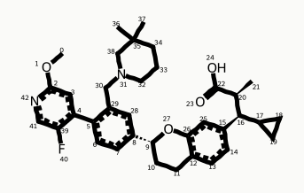 COc1cc(-c2ccc([C@H]3CCc4ccc([C@H](C5CC5)[C@H](C)C(=O)O)cc4O3)cc2CN2CCCC(C)(C)C2)c(F)cn1